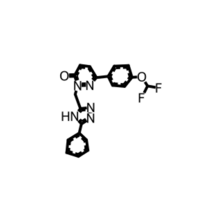 O=c1ccc(-c2ccc(OC(F)F)cc2)nn1Cc1nnc(-c2ccccc2)[nH]1